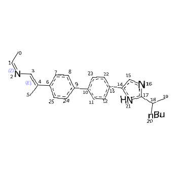 C/C=N\C=C(/C)c1ccc(-c2ccc(-c3cnc(C(C)CCCC)[nH]3)cc2)cc1